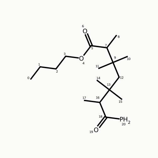 CCCCOC(=O)C(C)C(C)(C)CC(C)(C)C(C)C(=O)P